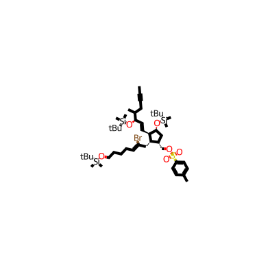 CC#CCC(C)[C@@H](/C=C/[C@@H]1[C@@H](C/C(Br)=C/CCCCO[Si](C)(C)C(C)(C)C)[C@@H](COS(=O)(=O)c2ccc(C)cc2)C[C@H]1O[Si](C)(C)C(C)(C)C)O[Si](C)(C)C(C)(C)C